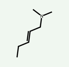 CCC=CCN(C)C